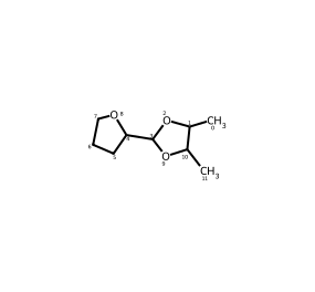 CC1OC(C2CCCO2)OC1C